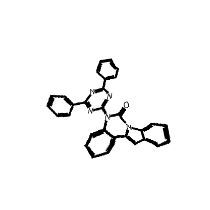 O=c1n(-c2nc(-c3ccccc3)nc(-c3ccccc3)n2)c2ccccc2c2cc3ccccc3n12